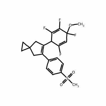 COC1(F)C=C(F)C(C2=C(c3ccc(S(C)(=O)=O)cc3)CC3(CC3)C2)C(F)=C1F